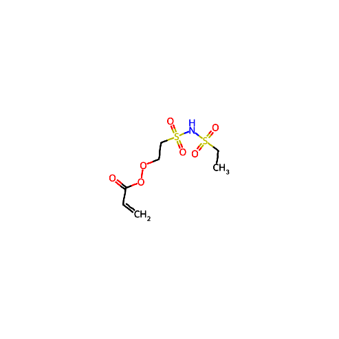 C=CC(=O)OOCCS(=O)(=O)NS(=O)(=O)CC